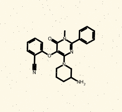 Cn1c(-c2ccccc2)nc(N2CCCC(N)C2)c(Oc2ccccc2C#N)c1=O